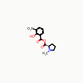 CN1CCC[C@@H]1C(=O)OC(=O)c1cccc([N+](=O)[O-])c1O